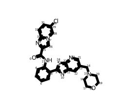 O=C(Nc1ccccc1-c1nc2cc(CN3CCOCC3)cnc2s1)c1cn2cc(Cl)ccc2n1